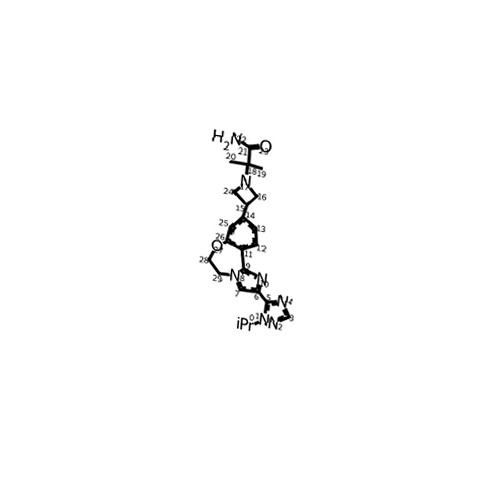 CC(C)n1ncnc1-c1cn2c(n1)-c1ccc(C3CN(C(C)(C)C(N)=O)C3)cc1OCC2